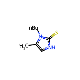 CCCCn1c(C)c[nH]c1=S